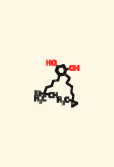 CCC(C)(C)CCCCc1cc(O)cc(O)c1CCCCCC1(C)CC1